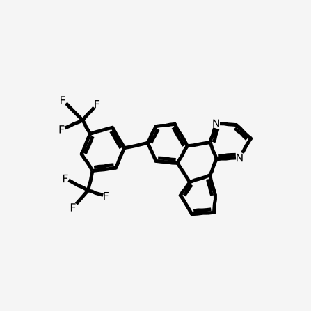 FC(F)(F)c1cc(-c2ccc3c(c2)c2ccccc2c2nccnc32)cc(C(F)(F)F)c1